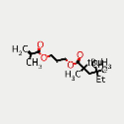 C=C(C)C(=O)OCCCOC(=O)C(C)(CC(C)(C)CC)C(C)(C)C